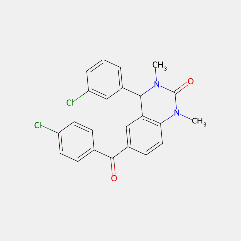 CN1C(=O)N(C)C(c2cccc(Cl)c2)c2cc(C(=O)c3ccc(Cl)cc3)ccc21